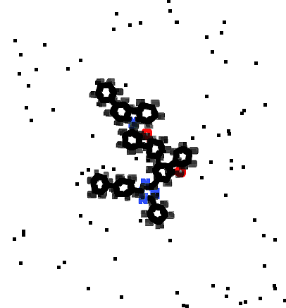 c1ccc(-c2ccc(-c3nc(-c4ccccc4)nc(-c4cc(-c5ccc6oc7c(-n8c9ccccc9c9cc(-c%10ccccc%10)ccc98)cccc7c6c5)c5c(c4)oc4ccccc45)n3)cc2)cc1